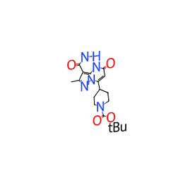 Cc1nn2c(C3CCN(C(=O)OC(C)(C)C)CC3)cc(=O)[nH]c2c1C(=O)N(C)C